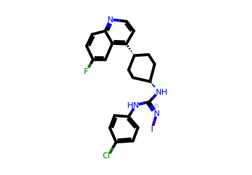 Fc1ccc2nccc([C@H]3CC[C@@H](N/C(=N/I)Nc4ccc(Cl)cc4)CC3)c2c1